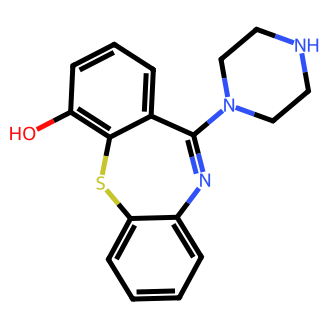 Oc1cccc2c1Sc1ccccc1N=C2N1CCNCC1